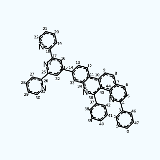 c1ccc(-c2ccc3ccc4c5ccc(-c6cc(-c7ccccn7)nc(-c7ccccn7)c6)cc5nc(-c5ccccc5)c4c3n2)cc1